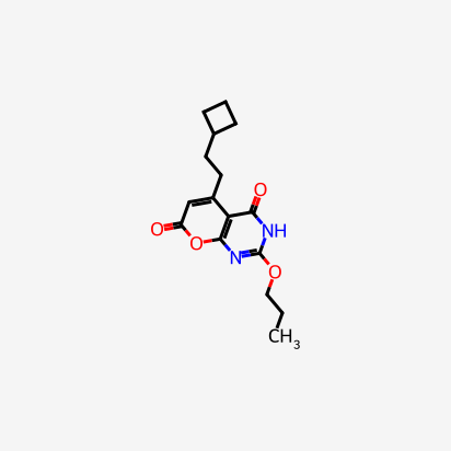 CCCOc1nc2oc(=O)cc(CCC3CCC3)c2c(=O)[nH]1